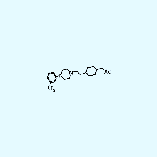 CC(=O)CC1CCC(CCN2CCN(c3cccc(C(F)(F)F)c3)CC2)CC1